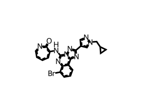 O=c1nccccc1Nc1nc2c(Br)cccc2c2nc(-c3cnn(CC4CC4)c3)nn12